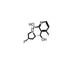 Cl.OC(c1c(I)ccnc1F)[C@@H]1C[C@@H](F)CN1